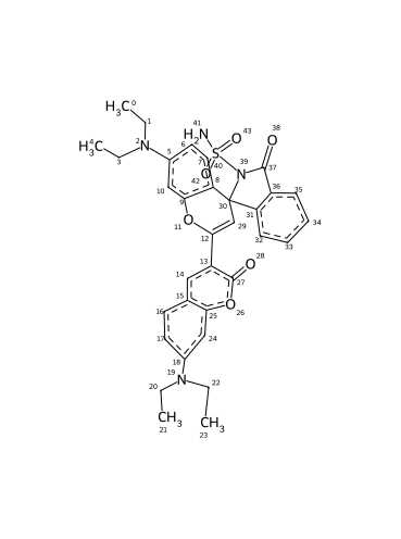 CCN(CC)c1ccc2c(c1)OC(c1cc3ccc(N(CC)CC)cc3oc1=O)=CC21c2ccccc2C(=O)N1S(N)(=O)=O